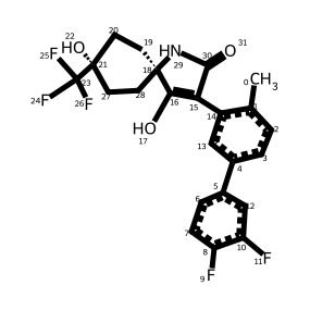 Cc1ccc(-c2ccc(F)c(F)c2)cc1C1=C(O)[C@]2(CC[C@](O)(C(F)(F)F)CC2)NC1=O